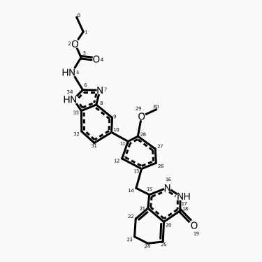 CCOC(=O)Nc1nc2cc(-c3cc(Cc4n[nH]c(=O)c5c4=CCCC=5)ccc3OC)ccc2[nH]1